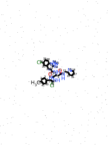 Cc1ccc(-c2nc([C@H](CC(=O)NCc3ccccn3)NC(=O)/C=C/c3cc(Cl)ccc3-n3cnnn3)[nH]c2Cl)cc1